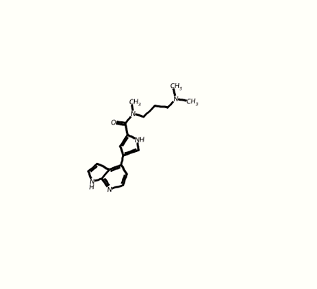 CN(C)CCCN(C)C(=O)c1cc(-c2ccnc3[nH]ccc23)c[nH]1